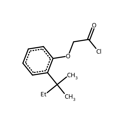 CCC(C)(C)c1ccccc1OCC(=O)Cl